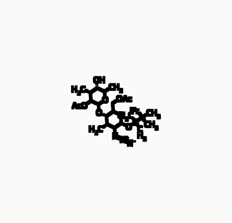 CC(=O)OCC1O[C@@H](O[Si](C)(C)C(C)(C)C(C)C)C(N=[N+]=[N-])[C@@H](C)[C@@H]1O[C@@H]1OC(C)[C@@H](O)[C@H](C)C1OC(C)=O